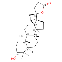 CC1(C)[C@H](O)CC[C@]2(C)[C@H]3CC[C@@H]4[C@@H]([C@]5(C)CCC(=O)O5)CC[C@@]4(C)[C@]3(C)CC[C@@H]12